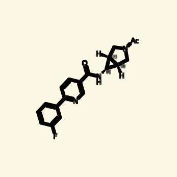 CC(=O)N1C[C@@H]2[C@H](C1)[C@@H]2NC(=O)c1ccc(-c2cccc(F)c2)nc1